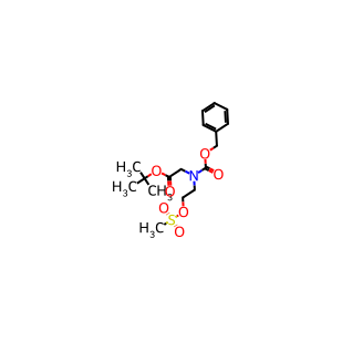 CC(C)(C)OC(=O)CN(CCOS(C)(=O)=O)C(=O)OCc1ccccc1